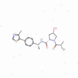 Cc1ncsc1-c1ccc([C@H](C)NC(=O)[C@@H]2C[C@@H](O)CN2C(=O)[C@@H](C)C(C)C)cc1